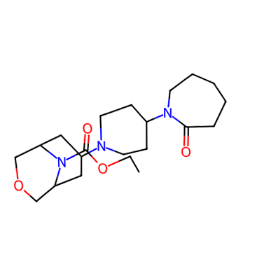 CCOC(=O)N1C2COCC1CC(N1CCC(N3CCCCCC3=O)CC1)C2